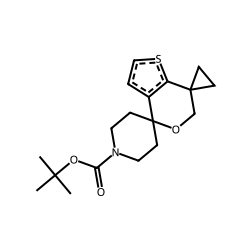 CC(C)(C)OC(=O)N1CCC2(CC1)OCC1(CC1)c1sccc12